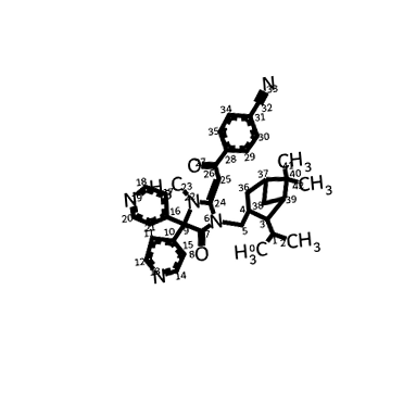 CC(C)C1C(CN2C(=O)C(c3ccncc3)(c3ccncc3)N(C)C2=CC(=O)c2ccc(C#N)cc2)CC2CC1C2(C)C